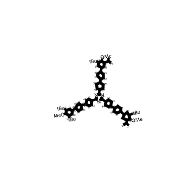 C=C(C)c1cc(-c2ccc(-c3ccc(-c4nc(-c5ccc(-c6ccc(-c7cc(C(=C)C)c(OC)c(C(C)(C)C)c7)cc6)cc5)nc(-c5ccc(-c6ccc(-c7cc(C(C)(C)C)c(OC)c(C(C)(C)C)c7)cc6)cc5)n4)cc3)cc2)cc(C(C)(C)C)c1OC